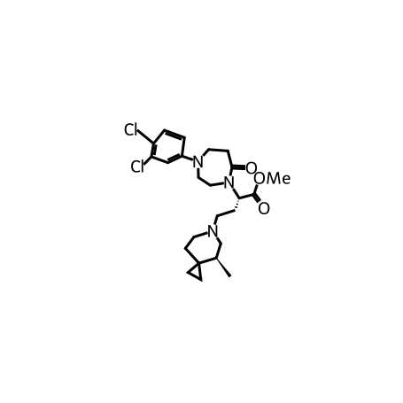 COC(=O)[C@H](CCN1CCC2(CC2)[C@H](C)C1)N1CCN(c2ccc(Cl)c(Cl)c2)CCC1=O